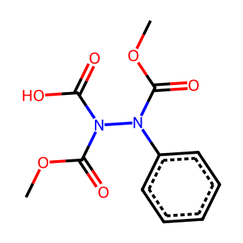 COC(=O)N(C(=O)O)N(C(=O)OC)c1ccccc1